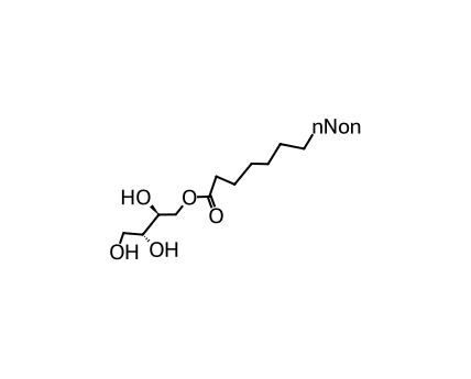 CCCCCCCCCCCCCCCC(=O)OC[C@H](O)[C@H](O)CO